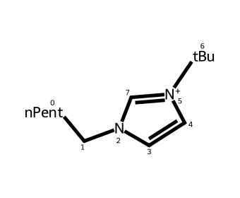 CCCCCCn1cc[n+](C(C)(C)C)c1